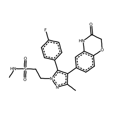 CNS(=O)(=O)CCn1nc(C)c(-c2ccc3c(c2)NC(=O)CO3)c1-c1ccc(F)cc1